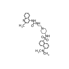 Cc1cc(NC(=O)NCCN2CCC(NS(=O)(=O)c3cccc4c(N(C)C)cccc34)CC2)c2ccccc2n1